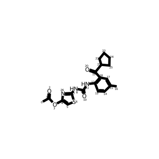 CC(=O)Oc1csc(NC(=O)Nc2ccc(C)cc2C(=O)C2CCCC2)n1